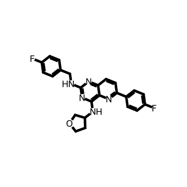 Fc1ccc(CNc2nc(NC3CCOC3)c3nc(-c4ccc(F)cc4)ccc3n2)cc1